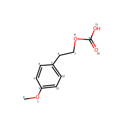 COc1ccc(CCOC(=O)O)cc1